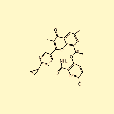 Cc1cc([C@@H](C)Oc2ccc(Cl)nc2C(N)=O)c2oc(-c3cnc(C4CC4)nc3)c(C)c(=O)c2c1